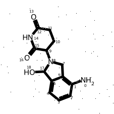 Nc1cccc2c1CN(C1CCC(=O)NC1=O)C2O